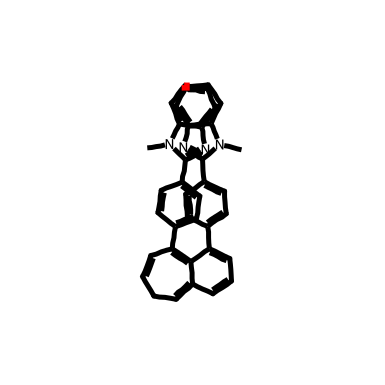 Cn1c(-c2ccc(C3=c4c(-c5ccc(-c6nc7ccccc7n6C)cc5)cccc4=CCC=C3)cc2)nc2ccccc21